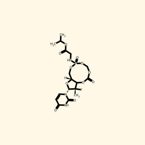 CC(C)OC(=O)CNP1(=O)OCOC(=O)OC2[C@@H](CO1)O[C@@H](n1ccc(=O)[nH]c1=O)[C@@]2(C)F